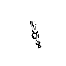 Cc1nc(N2CC3(CC3)C2)ccc1CN=[N+]=[N-]